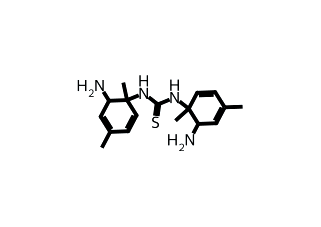 CC1=CC(N)C(C)(NC(=S)NC2(C)C=CC(C)=CC2N)C=C1